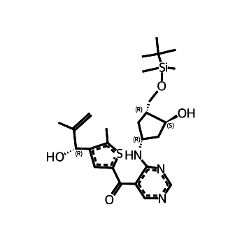 C=C(C)[C@@H](O)c1cc(C(=O)c2cncnc2N[C@@H]2C[C@H](CO[Si](C)(C)C(C)(C)C)[C@@H](O)C2)sc1C